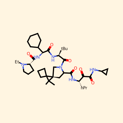 CCC[C@H](NC(=O)C1C[C@@]2(CN1C(=O)[C@@H](NC(=O)[C@@H](NC(=O)[C@@H]1CCCN1CC)C1CCCCC1)C(C)(C)C)C(C)(C)C21CCC1)C(=O)C(=O)NC1CC1